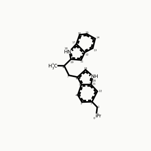 CC(C)Cc1ccc2c(CC(C)c3cc4ccccc4[nH]3)c[nH]c2c1